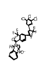 O=C(NNc1ccccc1[N+](=O)[O-])c1ccc(/C(F)=C/C(c2cc(Cl)c(Cl)c(Cl)c2)C(F)(F)F)cc1C(F)(F)F